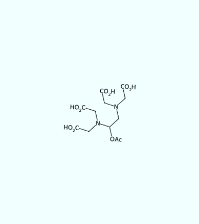 CC(=O)OC(CN(CC(=O)O)CC(=O)O)N(CC(=O)O)CC(=O)O